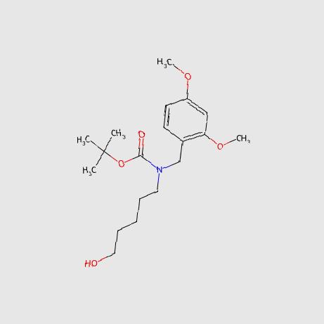 COc1ccc(CN(CCCCCO)C(=O)OC(C)(C)C)c(OC)c1